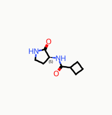 O=C(N[C@H]1CCNC1=O)C1CCC1